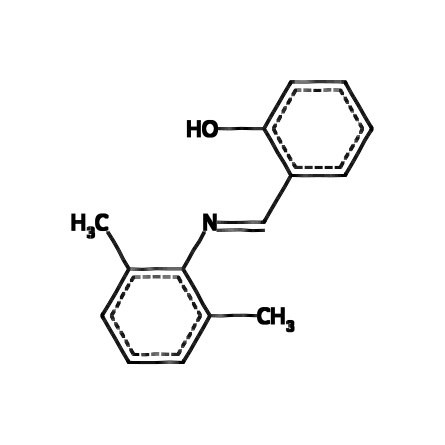 Cc1cccc(C)c1N=Cc1ccccc1O